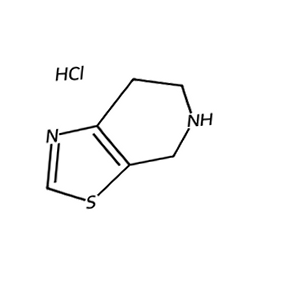 Cl.c1nc2c(s1)CNCC2